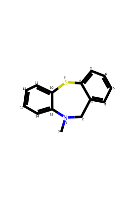 CN1Cc2ccccc2Sc2ccccc21